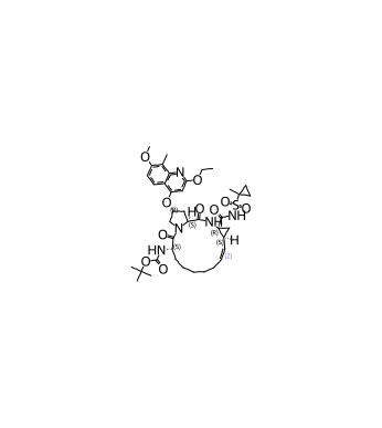 CCOc1cc(O[C@@H]2C[C@H]3C(=O)N[C@]4(C(=O)NS(=O)(=O)C5(C)CC5)C[C@H]4/C=C\CCCCC[C@H](NC(=O)OC(C)(C)C)C(=O)N3C2)c2ccc(OC)c(C)c2n1